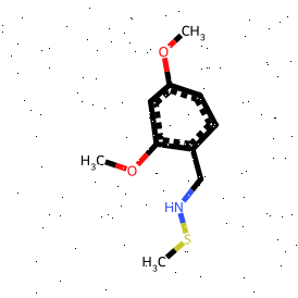 COc1ccc(CNSC)c(OC)c1